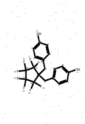 Oc1ccc(CC2(Cc3ccc(O)cc3)C(F)(F)C(F)(F)C(F)(F)C2(F)F)cc1